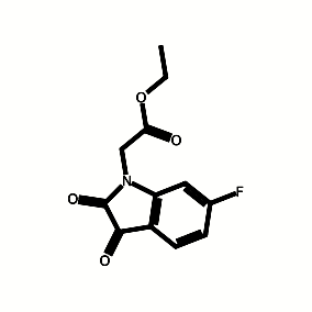 CCOC(=O)CN1C(=O)C(=O)c2ccc(F)cc21